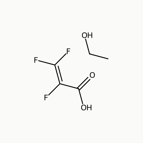 CCO.O=C(O)C(F)=C(F)F